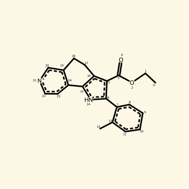 CCOC(=O)c1c(-c2ccccc2C)[nH]c2c1CCc1cnccc1-2